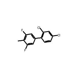 Cc1c(F)cc(-c2ccc(Cl)cc2Cl)cc1F